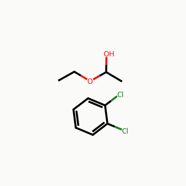 CCOC(C)O.Clc1ccccc1Cl